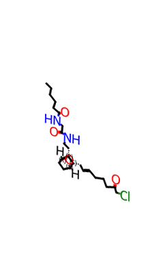 CCCCCC(=O)NCC(=O)NCC[C@@H]1[C@H](CC=CCCCC(=O)CCl)[C@@H]2CC[C@H]1O2